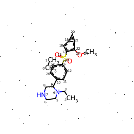 CC.CCN1CCNCC1c1ccc(S(=O)(=O)c2cc3cc-3c2OC)cc1